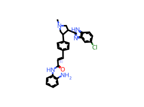 CN1CC(c2ccc(/C=C/C(=O)Nc3ccccc3N)cc2)C(c2nc3cc(Cl)ccc3[nH]2)C1